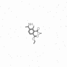 CCOC(=O)c1ccc(C(C)N)c(C)c1C(=O)OC